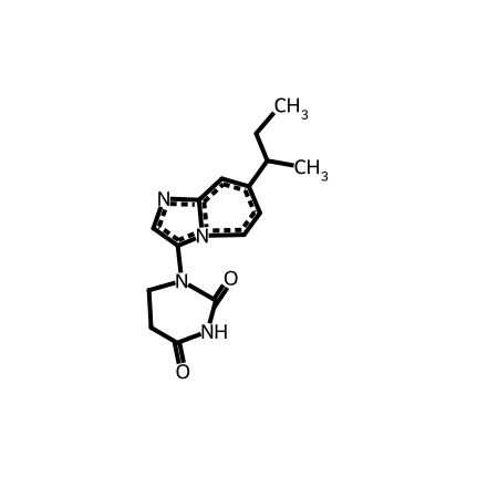 CCC(C)c1ccn2c(N3CCC(=O)NC3=O)cnc2c1